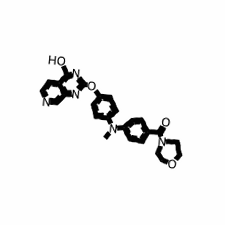 CN(c1ccc(Oc2nc(O)c3ccncc3n2)cc1)c1ccc(C(=O)N2CCOCC2)cc1